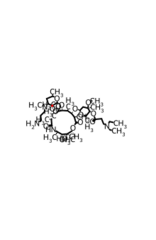 CC[C@H]1OC(=O)[C@H](C)[C@@H](O[C@H]2C[C@@](C)(OC)[C@@H](OC(=O)CCN(CC)CC)[C@H](C)O2)[C@H](C)[C@@H](O[C@@H]2O[C@H](C)C[C@H](N(C)CCCN)[C@H]2O)[C@](C)(OC)C[C@@H](C)C(=O)N[C@H](C)[C@@H](O)[C@]1(C)O